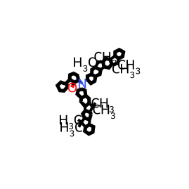 CC1(C)c2ccccc2-c2cc3c(cc21)-c1cc2ccc(N(c4ccc5cc6c(cc5c4)C(C)(C)c4cc5c(cc4-6)C(C)(C)c4ccccc4-5)c4cccc5c4oc4ccccc45)cc2cc1C3(C)C